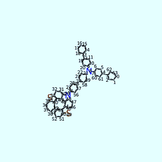 c1ccc(-c2ccc(N(c3ccc(-c4ccccc4)cc3)c3ccc(-c4ccc(-n5c6ccc7sc8ccccc8c7c6c6c7c(ccc65)sc5ccccc57)cc4)cc3)cc2)cc1